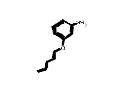 C=CCCCOc1cccc(N)c1